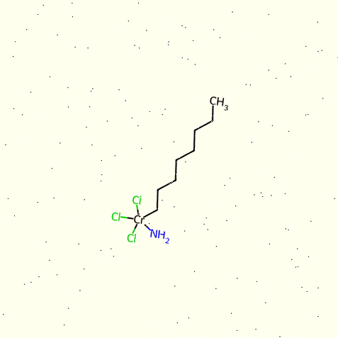 CCCCCCC[CH2][Cr]([NH2])([Cl])([Cl])[Cl]